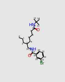 CCCC(CCCCC(=O)NC(C)(C)C)CNC(=O)c1cccc(Br)c1